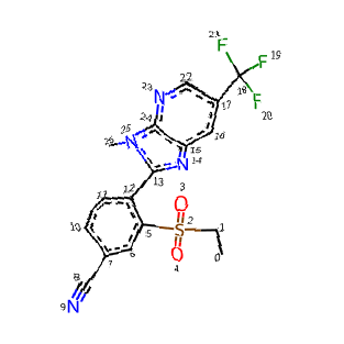 CCS(=O)(=O)c1cc(C#N)ccc1-c1nc2cc(C(F)(F)F)cnc2n1C